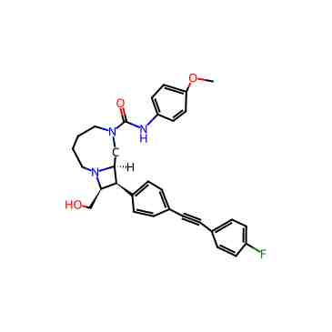 COc1ccc(NC(=O)N2CCCCN3[C@H](CO)[C@H](c4ccc(C#Cc5ccc(F)cc5)cc4)[C@@H]3C2)cc1